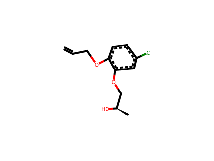 C=CCOc1ccc(Cl)cc1OC[C@@H](C)O